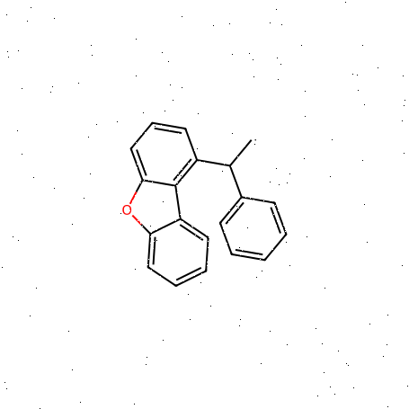 [CH2]C(c1ccccc1)c1cccc2oc3ccccc3c12